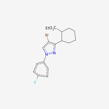 CCOC(=O)C1CCCCC1c1nn(-c2ccc(F)cc2)cc1Br